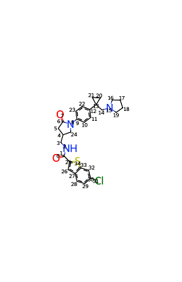 O=C(NCC1CC(=O)N(c2ccc(C3(CN4CCCC4)CC3)cc2)C1)c1cc2ccc(Cl)cc2s1